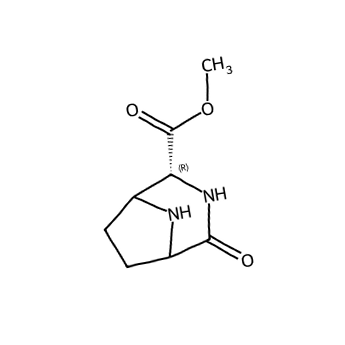 COC(=O)[C@@H]1NC(=O)C2CCC1N2